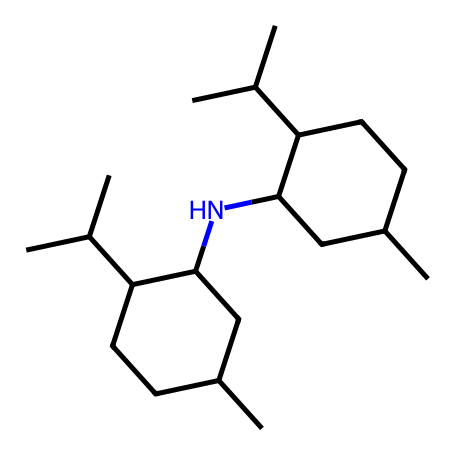 CC1CCC(C(C)C)C(NC2CC(C)CCC2C(C)C)C1